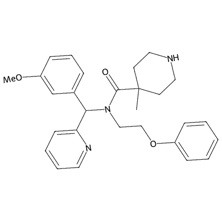 COc1cccc(C(c2ccccn2)N(CCOc2ccccc2)C(=O)C2(C)CCNCC2)c1